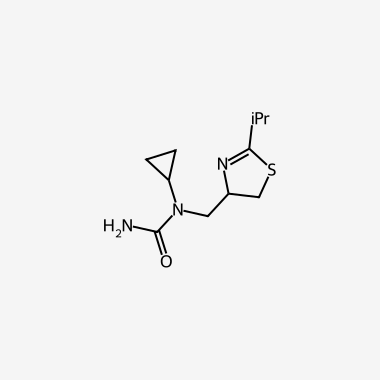 CC(C)C1=NC(CN(C(N)=O)C2CC2)CS1